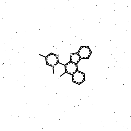 Cc1cnc(-c2c(C)c3ccccc3c3c2oc2ccccc23)[n+](C)c1